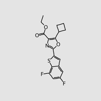 CCOC(=O)c1nc(-c2cc3cc(F)cc(F)c3s2)oc1C1CCC1